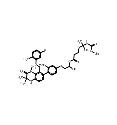 C=C1N(C)c2c(ccc(-c3ccc(OCC(C)OC(=O)CCOC(C)(C)NC(=O)OC(C)(C)C)cc3OC)c2COc2cc(F)ccc2C)NC1(C)C